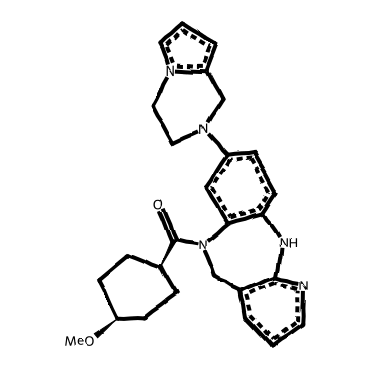 CO[C@H]1CC[C@@H](C(=O)N2Cc3cccnc3Nc3ccc(N4CCn5cccc5C4)cc32)CC1